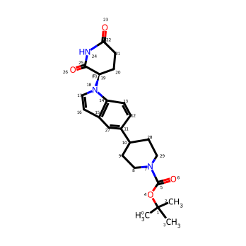 CC(C)(C)OC(=O)N1CCC(c2ccc3c(ccn3[C@@H]3CCC(=O)NC3=O)c2)CC1